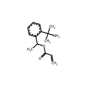 C=CC(=O)OC(C)c1ccccc1C(C)(C)N